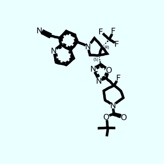 CC(C)(C)OC(=O)N1CCC(F)(c2nnc([C@]34CN(c5ccc(C#N)c6ncccc56)C[C@@]3(C(F)(F)F)C4)o2)CC1